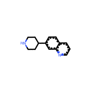 c1cnc2cc(C3CCNCC3)ccc2c1